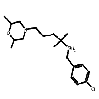 CC1CN(CCCC(C)(C)[SiH2]Cc2ccc(Cl)cc2)CC(C)O1